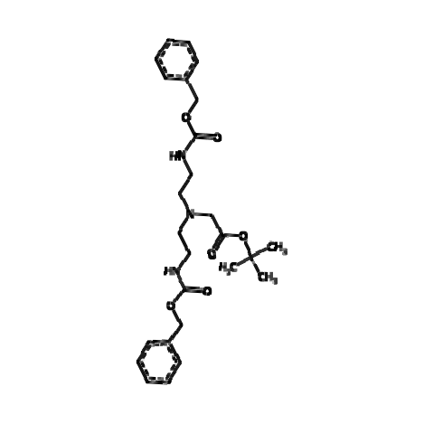 CC(C)(C)OC(=O)CN(CCNC(=O)OCc1ccccc1)CCNC(=O)OCc1ccccc1